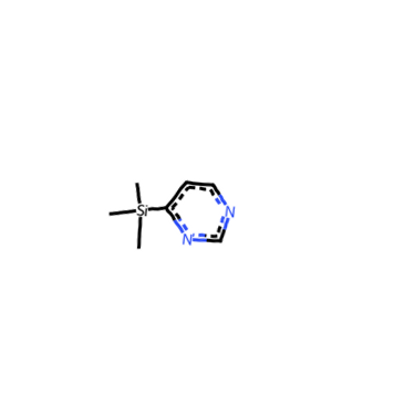 C[Si](C)(C)c1ccncn1